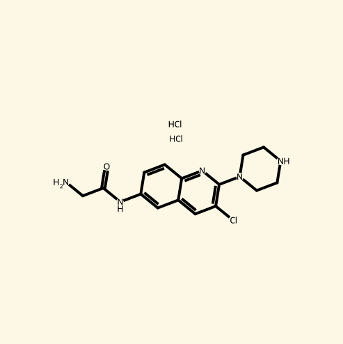 Cl.Cl.NCC(=O)Nc1ccc2nc(N3CCNCC3)c(Cl)cc2c1